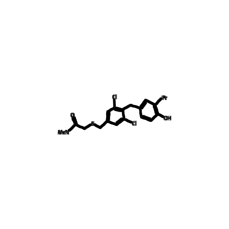 CNC(=O)CSCc1cc(Cl)c(Cc2ccc(O)c(C(C)C)c2)c(Cl)c1